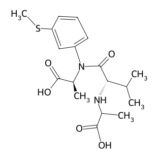 CSc1cccc(N(C(=O)[C@@H](NC(C)C(=O)O)C(C)C)[C@@H](C)C(=O)O)c1